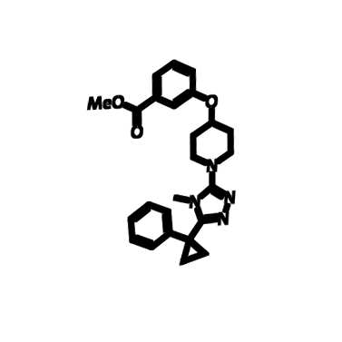 COC(=O)c1cccc(OC2CCN(c3nnc(C4(c5ccccc5)CC4)n3C)CC2)c1